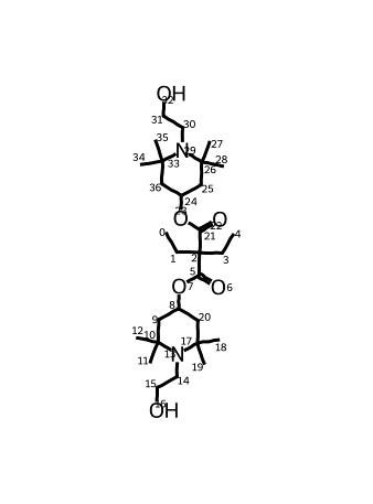 CCC(CC)(C(=O)OC1CC(C)(C)N(CCO)C(C)(C)C1)C(=O)OC1CC(C)(C)N(CCO)C(C)(C)C1